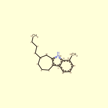 CCCCC1CCCc2c([nH]c3c(C)cccc23)C1